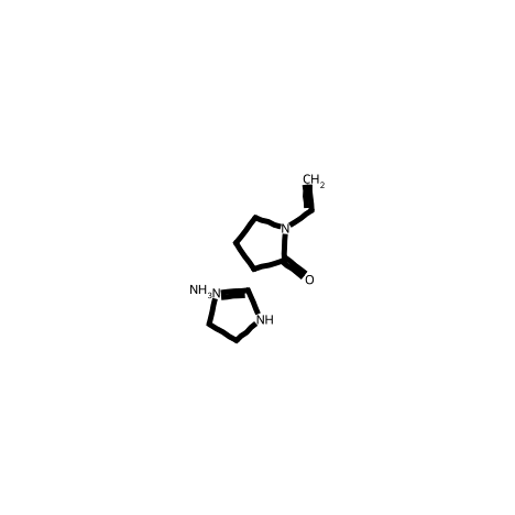 C1=NCCN1.C=CN1CCCC1=O.N